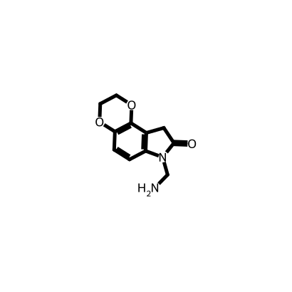 NCN1C(=O)Cc2c1ccc1c2OCCO1